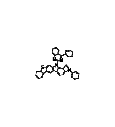 c1ccc(-c2nc(-n3c4cc5sc6ccccc6c5cc4c4ccc5c(ccn5-c5ccccc5)c43)nc3ccccc23)cc1